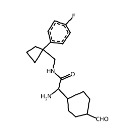 NC(C(=O)NCC1(c2ccc(F)cc2)CCC1)C1CCC(C=O)CC1